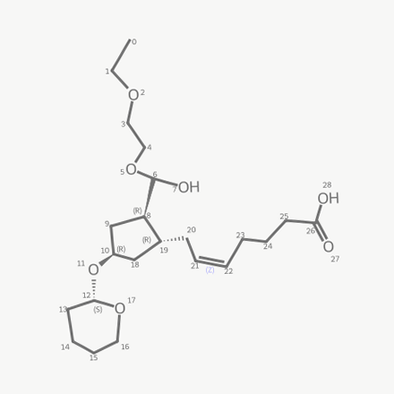 CCOCCOC(O)[C@@H]1C[C@H](O[C@H]2CCCCO2)C[C@H]1C/C=C\CCCC(=O)O